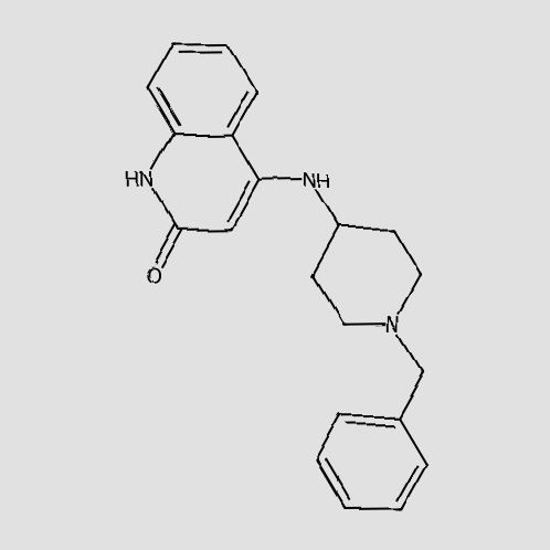 O=c1cc(NC2CCN(Cc3ccccc3)CC2)c2ccccc2[nH]1